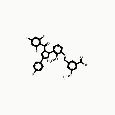 COc1cc(COc2cccc(C3CC(c4ccc(F)cc4)=CC3C(=O)c3c(F)cc(F)cc3F)c2OC)cc(C(=O)O)c1